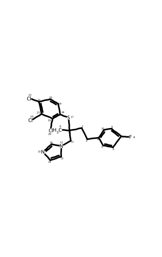 CC(CCc1ccc(F)cc1)(Cn1ccnc1)Sc1ccc(Cl)c(Cl)c1Cl